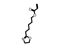 C=CC(=O)OCCCCCC1=NCCO1